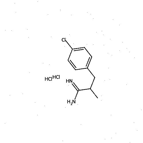 CC(Cc1ccc(Cl)cc1)C(=N)N.Cl.Cl